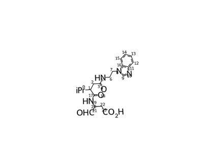 CC(C)C(CC(=O)NCCn1cnc2ccccc21)C(=O)NC(C=O)CC(=O)O